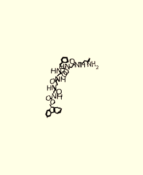 C=C(N)CCCNC(=O)CNC(=O)[C@H](Cc1ccccc1)NC(=O)CNC(=O)CNC(=O)CNC(=O)OCC1C2=C(C=CCC2)c2ccccc21